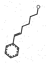 [O]CCCCC=Cc1ccccc1